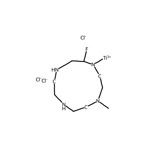 CN1CCNCCNCC(F)[N]([Ti+3])CC1.[Cl-].[Cl-].[Cl-]